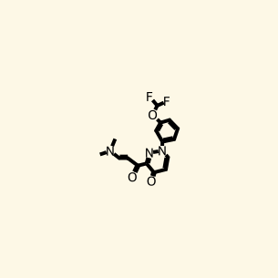 CN(C)/C=C/C(=O)c1nn(-c2cccc(OC(F)F)c2)ccc1=O